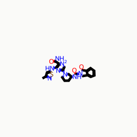 Cc1cc(Nc2nc(N3CCCC(NC(=O)N4Cc5ccccc5C4=O)C3)cnc2C(N)=O)sn1